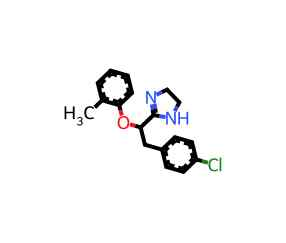 Cc1ccccc1OC(Cc1ccc(Cl)cc1)C1=NCCN1